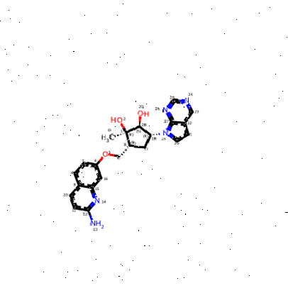 C[C@@]1(O)[C@@H](COc2ccc3ccc(N)nc3c2)C[C@@H](n2ccc3cncnc32)[C@@H]1O